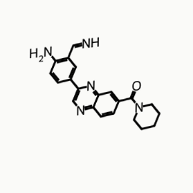 N=Cc1cc(-c2cnc3ccc(C(=O)N4CCCCC4)cc3n2)ccc1N